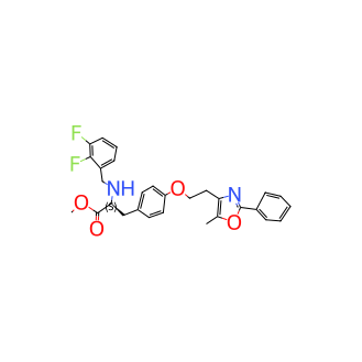 COC(=O)[C@H](Cc1ccc(OCCc2nc(-c3ccccc3)oc2C)cc1)NCc1cccc(F)c1F